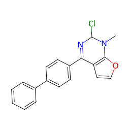 CN1c2occc2C(c2ccc(-c3ccccc3)cc2)=NC1Cl